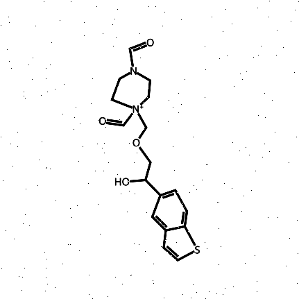 O=CN1CC[N+](C=O)(COCC(O)c2ccc3sccc3c2)CC1